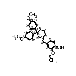 CCOc1cc(CN2CCCC(c3ccc(OC)cc3)(c3ccc(OC)cc3)C2)ccc1O